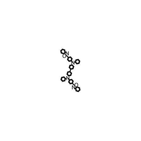 c1ccc(N(c2ccc(-c3ccc(N(c4ccccc4)c4ccc(-c5nc6ccccc6o5)cc4)cc3)cc2)c2ccc(-c3nc4ccccc4o3)cc2)cc1